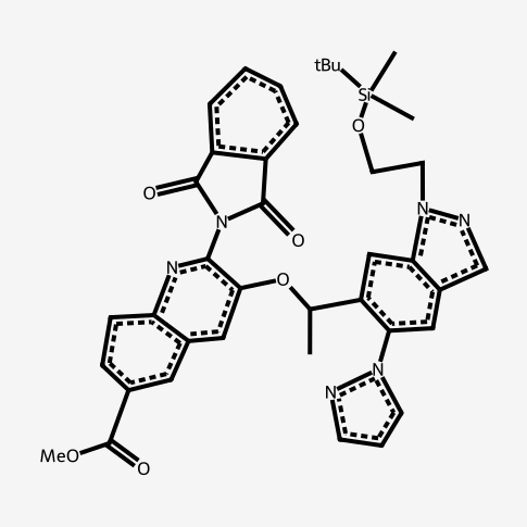 COC(=O)c1ccc2nc(N3C(=O)c4ccccc4C3=O)c(OC(C)c3cc4c(cnn4CCO[Si](C)(C)C(C)(C)C)cc3-n3cccn3)cc2c1